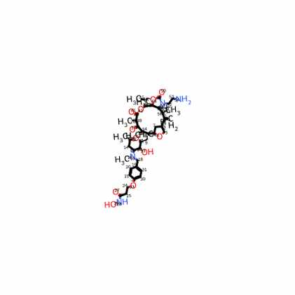 C=C1[C@@H]2CO[C@](C)(C2)[C@H](C[C@@H]2O[C@H](C)C[C@H](N(C)Cc3ccc(OCCC(=O)NO)cc3)[C@H]2O)[C@@H](C)C(=O)[C@@H](C)C(=O)O[C@H](CC)[C@@]2(C)OC(=O)N(CCN)[C@@H]2[C@H]1C